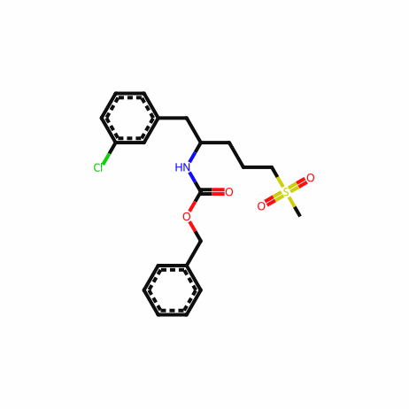 CS(=O)(=O)CCCC(Cc1cccc(Cl)c1)NC(=O)OCc1ccccc1